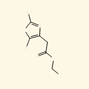 CCOC(=O)Cc1nc(N)sc1Cl